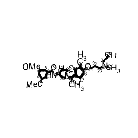 COc1cc(OC)cc(C(=O)N[C@@H]2CCN(C(C)c3ccc(OCCCN(C)CCO)c(C)c3C)C2)c1